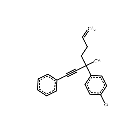 C=CCCC(O)(C#Cc1ccccc1)c1ccc(Cl)cc1